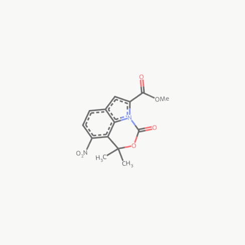 COC(=O)c1cc2ccc([N+](=O)[O-])c3c2n1C(=O)OC3(C)C